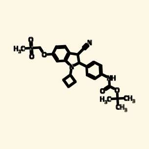 CC(C)(C)OC(=O)Nc1ccc(C2C(C#N)c3ccc(OCS(C)(=O)=O)cc3N2C2CCC2)cc1